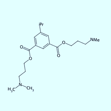 CNCCCOC(=O)c1cc(C(=O)OCCCN(C)C)cc(C(C)C)c1